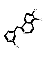 Cc1ccc2c(Cc3cccc(C(F)(F)F)c3)nccc2c1[N+](=O)[O-]